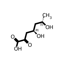 C[C@H](O)C[C@@H](O)CC(=O)C(=O)O